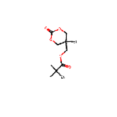 CCC1(COC(=O)C(C)(C)CC)COC(=O)OC1